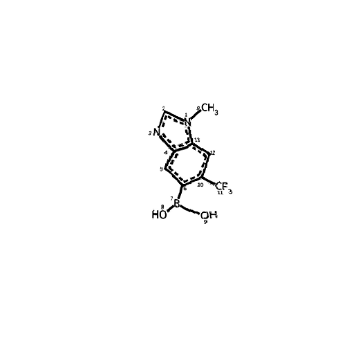 Cn1cnc2cc(B(O)O)c(C(F)(F)F)cc21